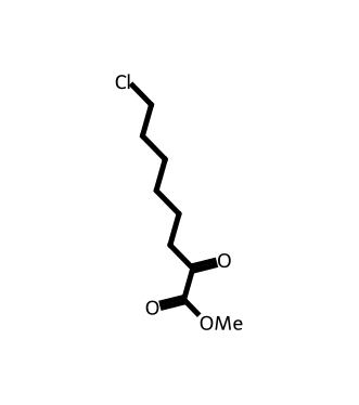 COC(=O)C(=O)CCCCCCCl